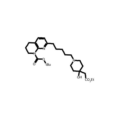 CCOC(=O)CC1(O)CCN(CCCCCc2ccc3c(n2)N(C(=O)OC(C)(C)C)CCC3)CC1